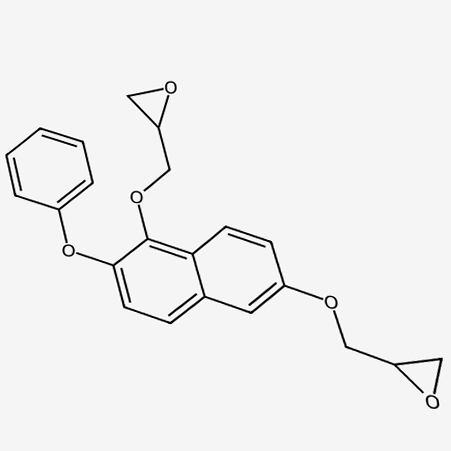 c1ccc(Oc2ccc3cc(OCC4CO4)ccc3c2OCC2CO2)cc1